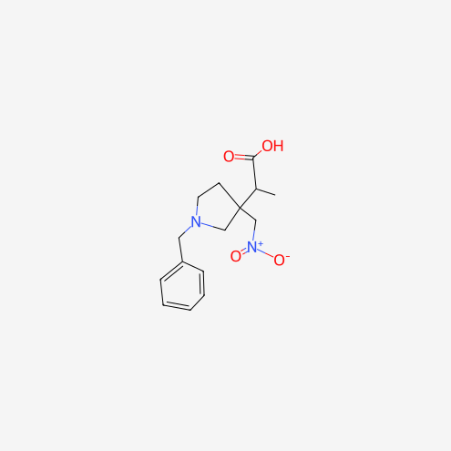 CC(C(=O)O)C1(C[N+](=O)[O-])CCN(Cc2ccccc2)C1